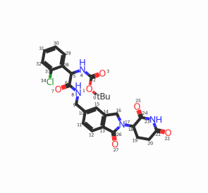 CC(C)(C)OC(=O)NC(C(=O)NCc1ccc2c(c1)CN(C1CCC(=O)NC1=O)C2=O)c1ccccc1Cl